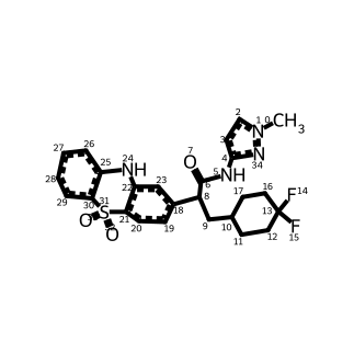 Cn1ccc(NC(=O)C(CC2CCC(F)(F)CC2)c2ccc3c(c2)Nc2ccccc2S3(=O)=O)n1